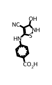 N#CC1=C(Nc2ccc(C(=O)O)cc2)SNC1O